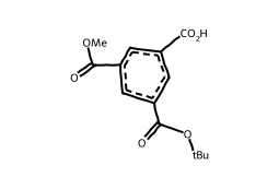 COC(=O)c1cc(C(=O)O)cc(C(=O)OC(C)(C)C)c1